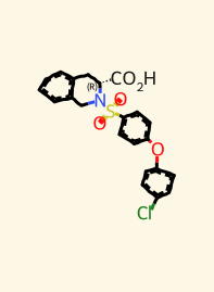 O=C(O)[C@H]1Cc2ccccc2CN1S(=O)(=O)c1ccc(Oc2ccc(Cl)cc2)cc1